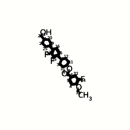 CCOc1ccc(C(=O)OC2CCC(c3ccc(C4CCC(CO)CC4)c(F)c3F)CC2)cc1F